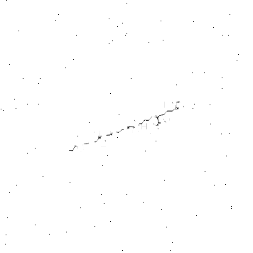 CCCOCCOCC(=O)NCCOCCOCC(=O)NCCCC[C@H](CC(=O)CCc1cnc[nH]1)C(N)=O